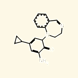 NC1=CC(C2CC2)=CC(N2CCN=Cc3ccccc32)C1=O